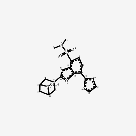 CN(C)S(=O)(=O)c1ccc(-c2nccs2)c2oc(N3CC4CC(C3)N4C(=O)O)nc12